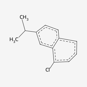 CC(C)c1ccc2cccc(Cl)c2c1